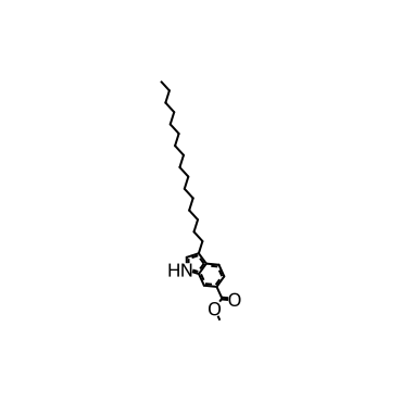 CCCCCCCCCCCCCCCCc1c[nH]c2cc(C(=O)OC)ccc12